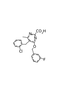 Cc1nc(C(=O)O)nc(OCc2cccc(F)c2)c1Cc1ccccc1Cl